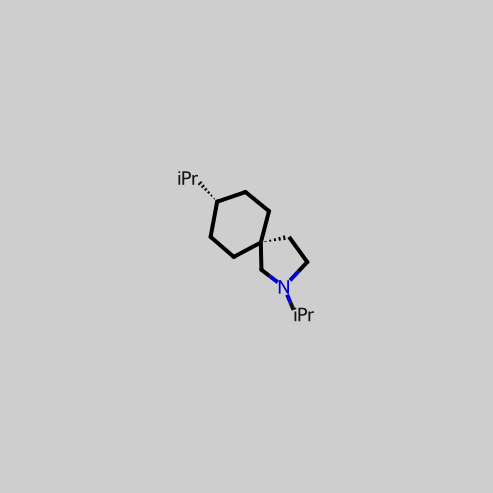 CC(C)N1CC[C@]2(CC[C@@H](C(C)C)CC2)C1